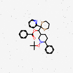 CC(C)(C)ON1CC(C(OC(=O)c2ccccc2)C2(c3ccccn3)SCCCS2)CCC1c1ccccc1